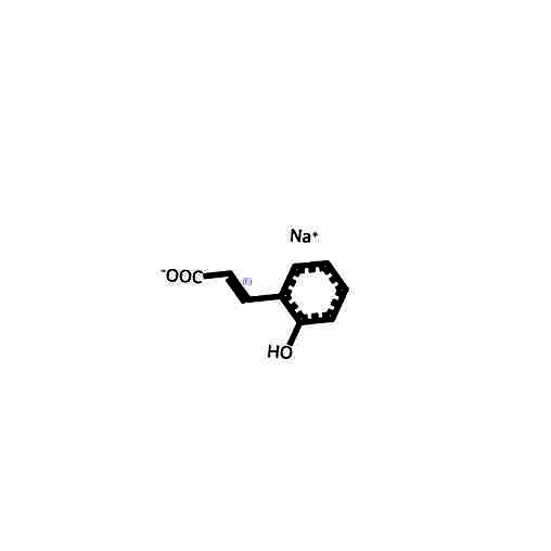 O=C([O-])/C=C/c1ccccc1O.[Na+]